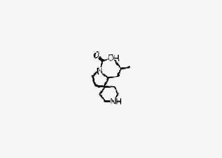 CC(C)CC1N(C(=O)O)CCC12CCNCC2